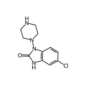 O=c1[nH]c2cc(Cl)ccc2n1N1CCNCC1